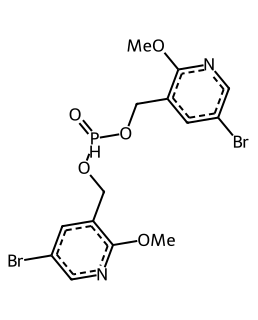 COc1ncc(Br)cc1CO[PH](=O)OCc1cc(Br)cnc1OC